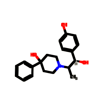 CC([C@@H](O)c1ccc(O)cc1)N1CCC(O)(c2ccccc2)CC1